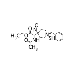 CCOC(=O)C(NC(C)=O)C1(N=O)CC[N+](S)(Cc2ccccc2)CC1